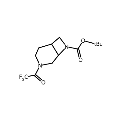 CC(C)(C)OC(=O)N1CC2CCN(C(=O)C(F)(F)F)CC21